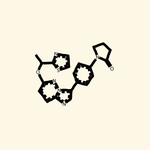 CC(Oc1ccc2ncc(-c3ccc(N4CCCC4=O)cc3)n2n1)c1nccs1